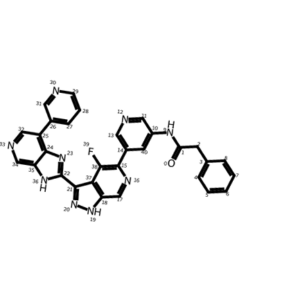 O=C(Cc1ccccc1)Nc1cncc(-c2ncc3[nH]nc(-c4nc5c(-c6cccnc6)cncc5[nH]4)c3c2F)c1